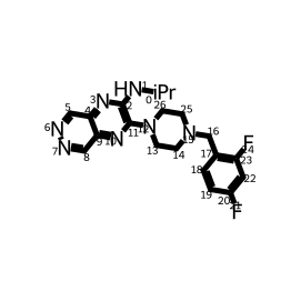 CC(C)Nc1nc2cnncc2nc1N1CCN(Cc2ccc(F)cc2F)CC1